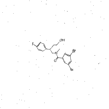 CN(CC(CCO)c1ccc(F)cc1)C(=O)c1cc(Br)cc(Br)c1